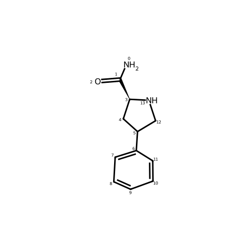 NC(=O)[C@@H]1CC(c2ccccc2)CN1